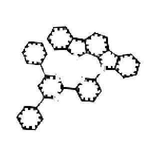 c1ccc(-c2cc(-c3ccccc3)nc(-c3cccc(-n4c5ccccc5c5ccc6c7ccccc7sc6c54)n3)n2)cc1